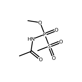 COP(=O)(NC(C)=O)S(C)(=O)=O